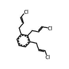 ClC=CCc1cccc(CC=CCl)c1CC=CCl